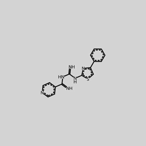 N=C(NC(=N)c1ccncc1)Nc1nc(-c2ccccc2)cs1